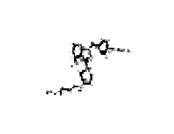 CNCCCN[C@@H]1CCN(c2nn(Cc3ccc(OC)cc3)c3nccc(Cl)c23)C1